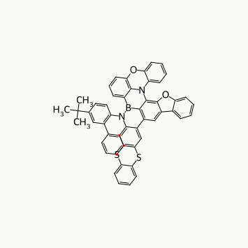 CC(C)(C)c1ccc(N2B3c4cccc5c4N(c4ccccc4O5)c4c3c(cc3c4oc4ccccc43)-c3cc4c(cc32)Sc2ccccc2S4)c(-c2ccccc2)c1